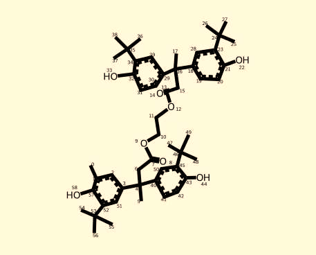 Cc1cc(C(C)(CC(=O)OCCOC(=O)CC(C)(c2ccc(O)c(C(C)(C)C)c2)c2ccc(O)c(C(C)(C)C)c2)c2ccc(O)c(C(C)(C)C)c2)cc(C(C)(C)C)c1O